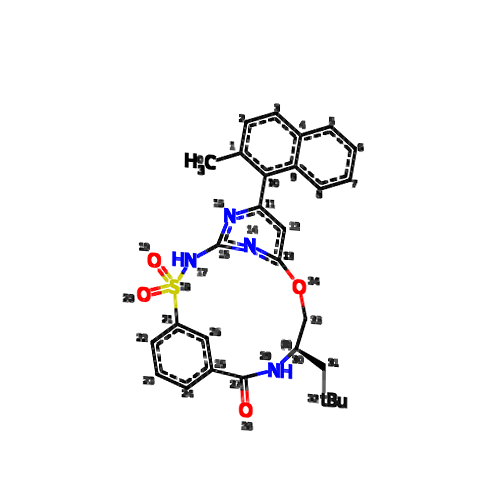 Cc1ccc2ccccc2c1-c1cc2nc(n1)NS(=O)(=O)c1cccc(c1)C(=O)N[C@H](CC(C)(C)C)CO2